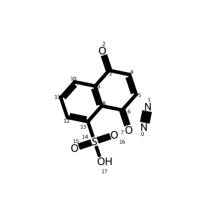 N#N.O=C1C=CC(=O)c2c1cccc2S(=O)(=O)O